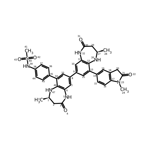 C[C@@H]1CC(=O)Nc2cc(-c3cc4c(c(-c5ccc6c(c5)CC(=O)N6C)c3)N[C@H](C)CC(=O)N4)cc(-c3ccc(NS(C)(=O)=O)cc3)c2N1